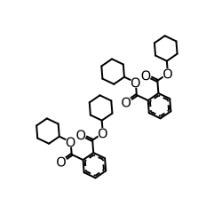 O=C(OC1CCCCC1)c1ccccc1C(=O)OC1CCCCC1.O=C(OC1CCCCC1)c1ccccc1C(=O)OC1CCCCC1